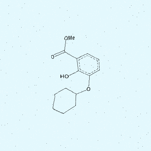 COC(=O)c1cccc(OC2CCCCC2)c1O